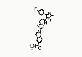 Cc1nc(-c2ccc(F)cc2)c(-c2ccc3nc(N4C=Cc5cc(C(N)=O)ccc5C4)cn3n2)n1C